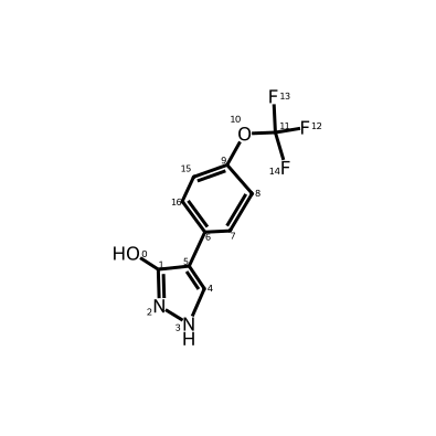 Oc1n[nH]cc1-c1ccc(OC(F)(F)F)cc1